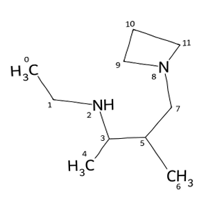 CCNC(C)C(C)CN1CCC1